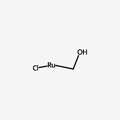 O[CH2][Ru][Cl]